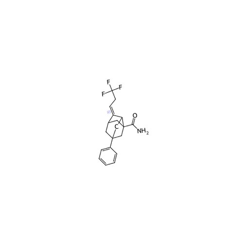 NC(=O)C12CC3CC(c4ccccc4)(CC1/C3=C\CC(F)(F)F)C2